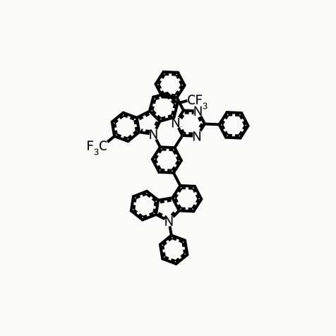 FC(F)(F)c1ccc2c3ccc(C(F)(F)F)cc3n(-c3ccc(-c4cccc5c4c4ccccc4n5-c4ccccc4)cc3-c3nc(-c4ccccc4)nc(-c4ccccc4)n3)c2c1